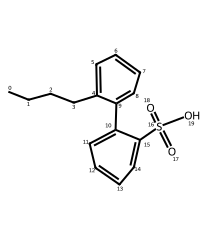 CCCCc1ccccc1-c1ccccc1S(=O)(=O)O